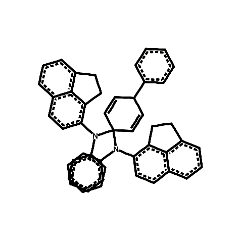 C1=CC(N(c2ccccc2)c2ccc3cccc4c3c2CC4)(N(c2ccccc2)c2ccc3cccc4c3c2CC4)C=CC1c1ccccc1